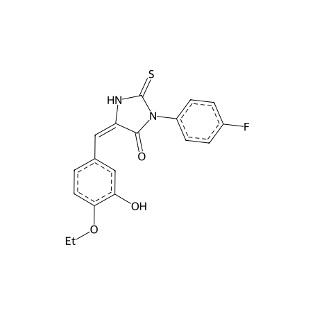 CCOc1ccc(C=C2NC(=S)N(c3ccc(F)cc3)C2=O)cc1O